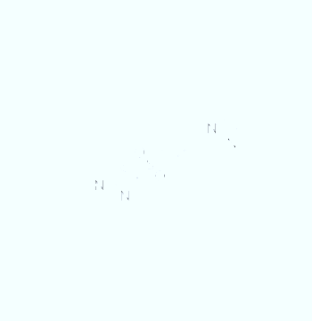 O=S(=O)(c1ccc(Cn2ccnc2)cc1)c1cnc(N2CCCC2)s1